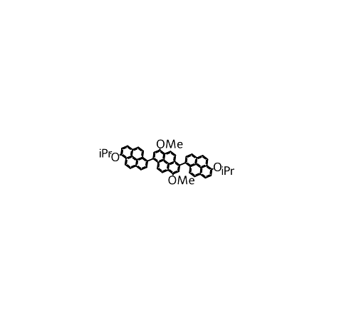 COc1cc(-c2ccc3ccc4c(OC(C)C)ccc5ccc2c3c54)c2ccc3c(OC)cc(-c4ccc5ccc6c(OC(C)C)ccc7ccc4c5c76)c4ccc1c2c34